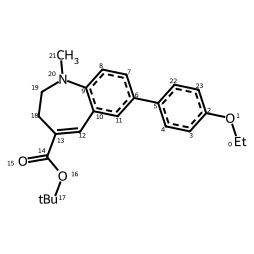 CCOc1ccc(-c2ccc3c(c2)C=C(C(=O)OC(C)(C)C)CCN3C)cc1